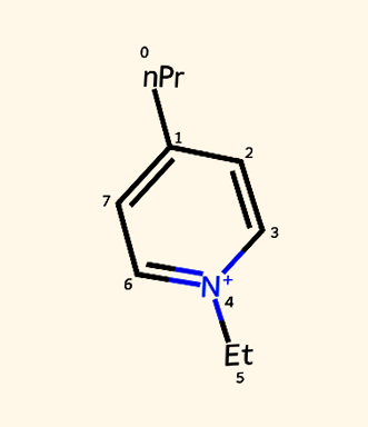 CCCc1cc[n+](CC)cc1